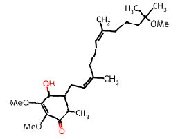 COC1=C(OC)C(O)C(CC=C(C)CCC=C(C)CCCC(C)(C)OC)C(C)C1=O